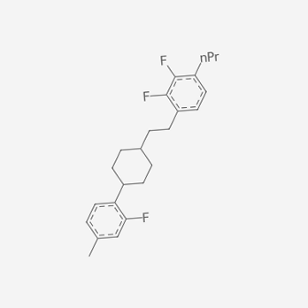 CCCc1ccc(CCC2CCC(c3ccc(C)cc3F)CC2)c(F)c1F